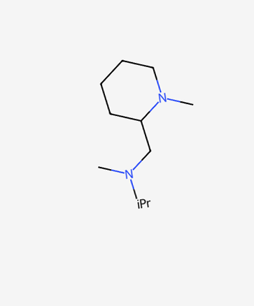 CC(C)N(C)CC1CCCCN1C